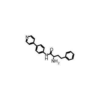 N[C@H](CCc1ccccc1)C(=O)Nc1ccc(-c2ccncc2)cc1